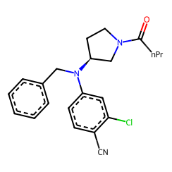 CCCC(=O)N1CC[C@H](N(Cc2ccccc2)c2ccc(C#N)c(Cl)c2)C1